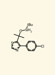 CC(C)(C)[SiH2]OC(C)(C)c1scnc1-c1ccc(Cl)cc1